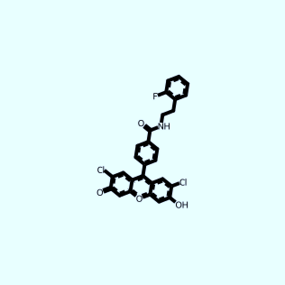 O=C(NCCc1ccccc1F)c1ccc(-c2c3cc(Cl)c(=O)cc-3oc3cc(O)c(Cl)cc23)cc1